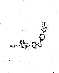 CCc1nc(-c2ccc(Oc3ccc(C(=O)CC(CC)(CC)NC(C)=O)cc3)cc2)co1